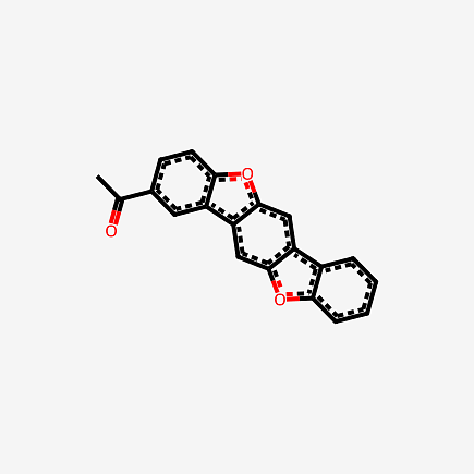 CC(=O)c1ccc2oc3cc4c(cc3c2c1)oc1ccccc14